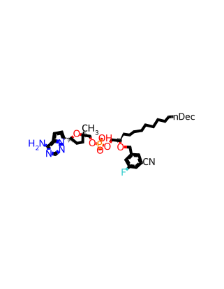 CCCCCCCCCCCCCCCCCCC[C@H](COP(=O)(O)OC[C@]1(C)CC[C@H](c2ccc3c(N)ncnn23)O1)OCc1cc(F)cc(C#N)c1